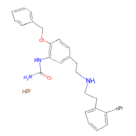 Br.CCCc1ccccc1CCNCCc1ccc(OCc2ccccc2)c(NC(N)=O)c1